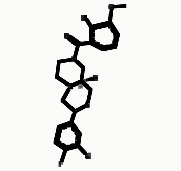 COc1cccc(C(=O)N2CCN3CC(c4ccc(F)c(Cl)c4)SC[C@@H]3C2)c1Cl